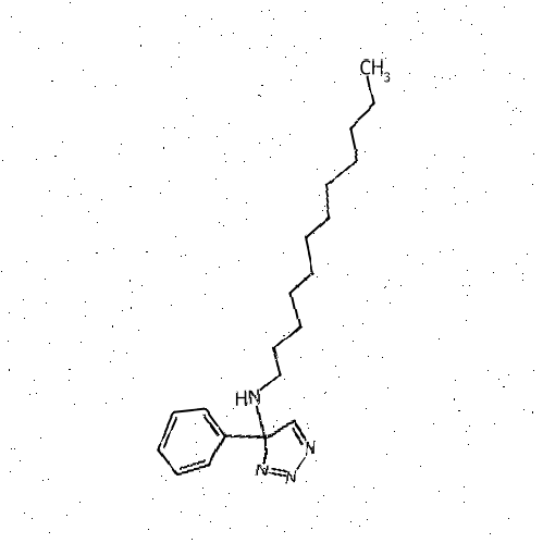 CCCCCCCCCCCCNC1(c2ccccc2)C=NN=N1